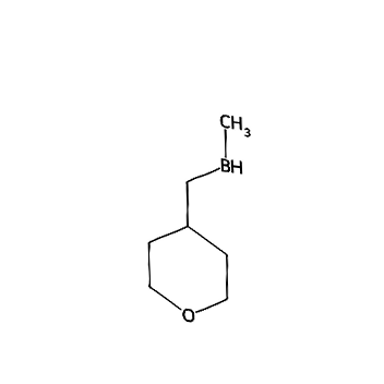 CBCC1CCOCC1